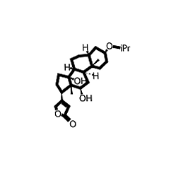 CC(C)O[C@H]1CC[C@@]2(C)[C@H](CC[C@@H]3[C@@H]2C[C@@H](O)[C@]2(C)[C@@H](C4=CC(=O)OC4)CC[C@]32O)C1